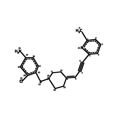 Cc1cccc(C#CC=C2CCN(Sc3ccc(N)cc3Cl)CC2)n1